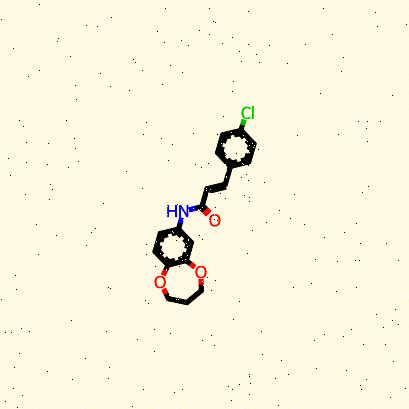 O=C(C=Cc1ccc(Cl)cc1)Nc1ccc2c(c1)OCCCO2